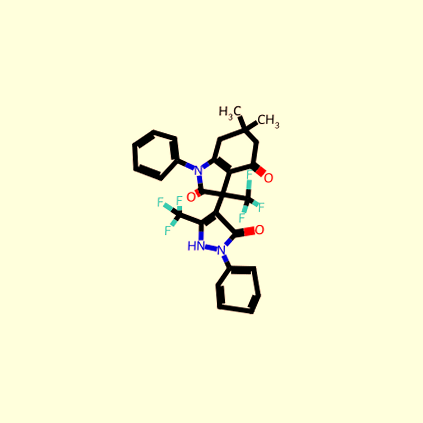 CC1(C)CC(=O)C2=C(C1)N(c1ccccc1)C(=O)C2(c1c(C(F)(F)F)[nH]n(-c2ccccc2)c1=O)C(F)(F)F